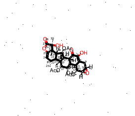 CC(=O)O[C@H]1[C@H]2[C@@H](C(=O)C(O)=C3C[C@@H]4O[C@@H]4[C@H](OC(C)=O)[C@@]32C)[C@@H]2[C@@]3(OC(C)=O)C[C@@]4([C@H](C)C=C5OC(=O)[C@@](C)(O)[C@]5(C)[C@H]34)[C@@]2(C)[C@H]1OC(C)=O